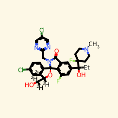 [2H]C([2H])(O)C([2H])([2H])O[C@]1(c2ccc(Cl)cc2)c2c(F)cc(C(O)(CC)C3(F)CCN(C)CC3)cc2C(=O)N1Cc1ncc(Cl)cn1